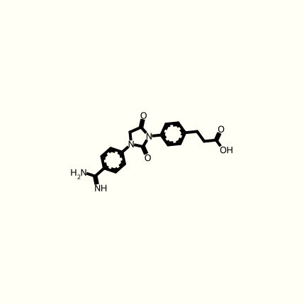 N=C(N)c1ccc(N2CC(=O)N(c3ccc(CCC(=O)O)cc3)C2=O)cc1